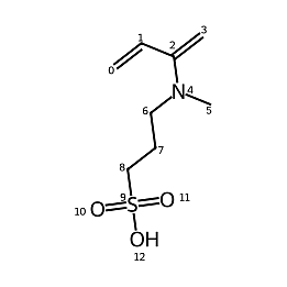 C=CC(=C)N(C)CCCS(=O)(=O)O